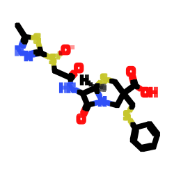 Cc1nnc([S+]([O-])CC(=O)NC2C(=O)N3CC(CSc4ccccc4)(C(=O)O)CS[C@H]23)s1